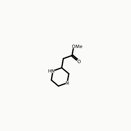 COC(=O)CC1C[N]CCN1